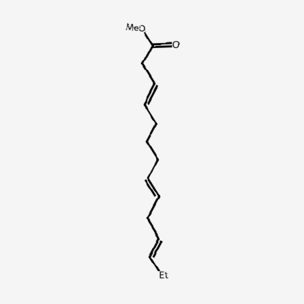 CCC=CCC=CCCCC=CCC(=O)OC